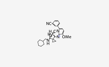 C=C(/N=c1/c(OC)ccc(-c2cccc(C#N)c2)n1C)C1(C(=O)NCC2CCCCC2)CC1